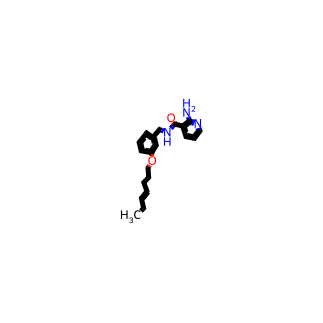 CCC=CCCCOc1cccc(CNC(=O)c2cccnc2N)c1